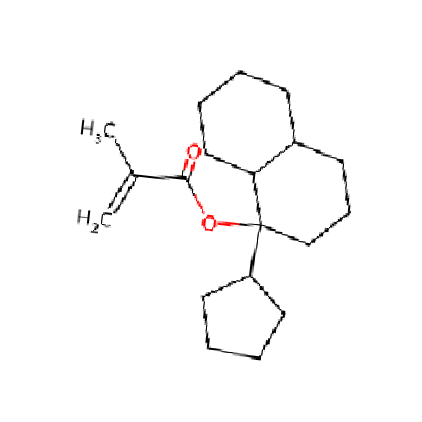 C=C(C)C(=O)OC1(C2CCCC2)CCCC2CCCCC21